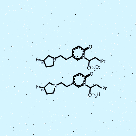 CC(C)CC(C(=O)O)n1cc(CCN2CC[C@@H](F)C2)ccc1=O.CCOC(=O)C(CC(C)C)n1cc(CCN2CC[C@@H](F)C2)ccc1=O